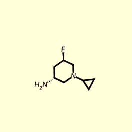 N[C@@H]1C[C@@H](F)CN(C2CC2)C1